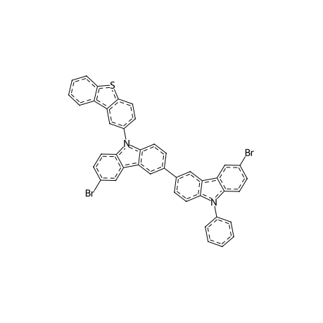 Brc1ccc2c(c1)c1cc(-c3ccc4c(c3)c3cc(Br)ccc3n4-c3ccc4sc5ccccc5c4c3)ccc1n2-c1ccccc1